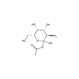 CC(=O)OC1(O)O[C@H](CO)[C@H](O)[C@H](O)[C@H]1N